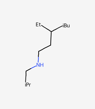 CCC(C)C(CC)CCNCC(C)C